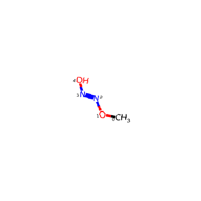 CON=NO